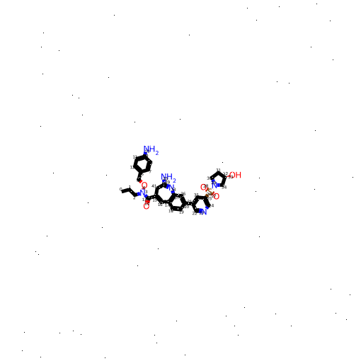 CCCN(OCc1ccc(N)cc1)C(=O)C1=Cc2ccc(-c3cncc(S(=O)(=O)N4CC[C@H](O)C4)c3)cc2N=C(N)C1